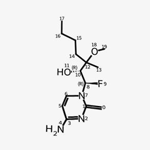 C=C1N=C(N)C=CN1[C@H](F)[C@H](O)C(C)(CCCC)OC